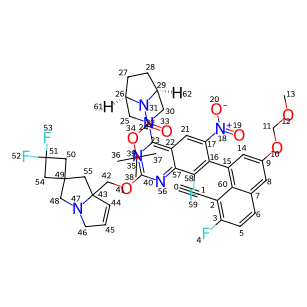 C#Cc1c(F)ccc2cc(OCOC)cc(-c3c([N+](=O)[O-])cc4c(N5C[C@H]6CC[C@@H](C5)N6C(=O)OC(C)(C)C)nc(OCC56C=CCN5CC5(CC(F)(F)C5)C6)nc4c3F)c12